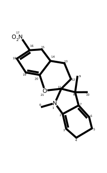 CN1C2=CCCC=C2C(C)(C)C12CCC1CC([N+](=O)[O-])=CC=C1O2